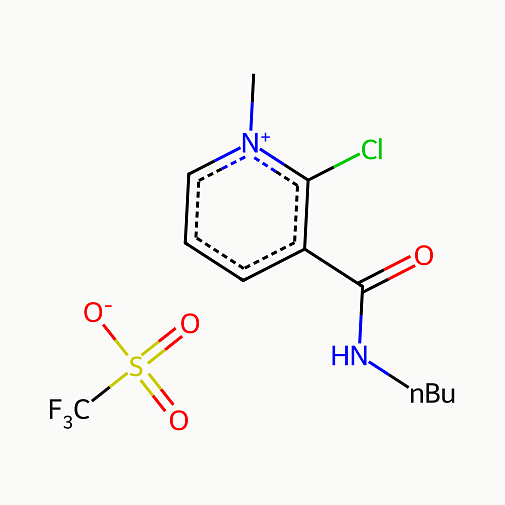 CCCCNC(=O)c1ccc[n+](C)c1Cl.O=S(=O)([O-])C(F)(F)F